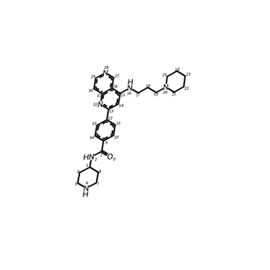 O=C(NC1CCNCC1)c1ccc(-c2cc(NCCCN3CCCCC3)c3cnccc3n2)cc1